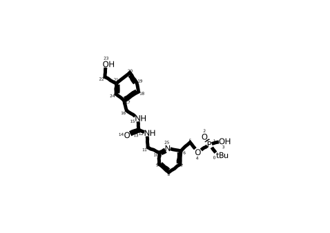 CC(C)(C)P(=O)(O)OCc1cccc(CNC(=O)NCc2cccc(CO)c2)n1